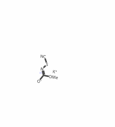 CO/C([O-])=N\SC#N.[K+]